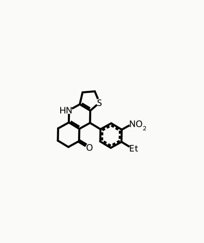 CCc1ccc(C2C3=C(CCS3)NC3=C2C(=O)CCC3)cc1[N+](=O)[O-]